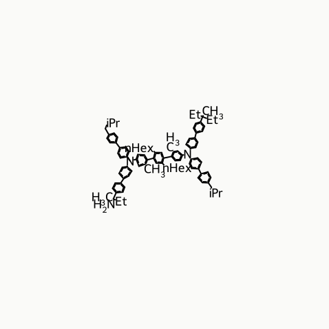 CCCCCCc1cc(-c2ccc(N(c3ccc(-c4ccc(CC(C)C)cc4)cc3)c3ccc(-c4ccc(C(C)(CC)CC)cc4)cc3)cc2C)c(CCCCCC)cc1-c1ccc(N(c2ccc(-c3ccc(CC(C)C)cc3)cc2)c2ccc(-c3ccc(C(C)(N)CC)cc3)cc2)cc1C